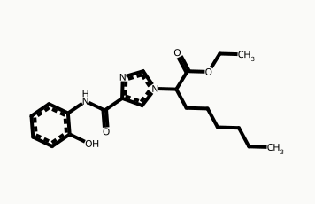 CCCCCCC(C(=O)OCC)n1cnc(C(=O)Nc2ccccc2O)c1